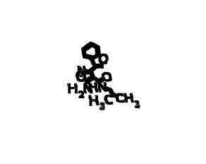 CC(C)CNC(=O)c1c(-c2coc3ccccc23)noc1N